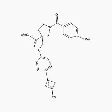 COC(=O)C1(COc2ccc(C34CC(C#N)(C3)C4)cc2)CCN(C(=O)c2ccc(OC)cc2)C1